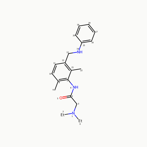 CCN(CC)CC(=O)Nc1c(C)ccc(CNc2ccccc2)c1C